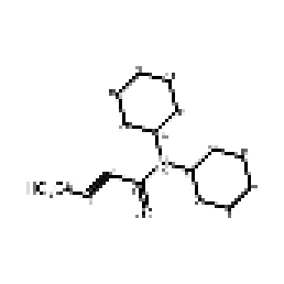 O=C(O)/C=C/C(=O)N(C1CCCCC1)C1CCCCC1